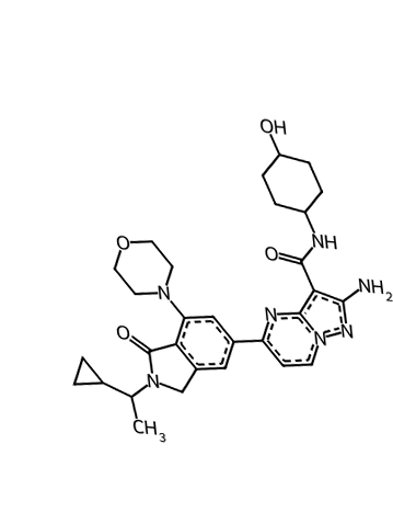 CC(C1CC1)N1Cc2cc(-c3ccn4nc(N)c(C(=O)NC5CCC(O)CC5)c4n3)cc(N3CCOCC3)c2C1=O